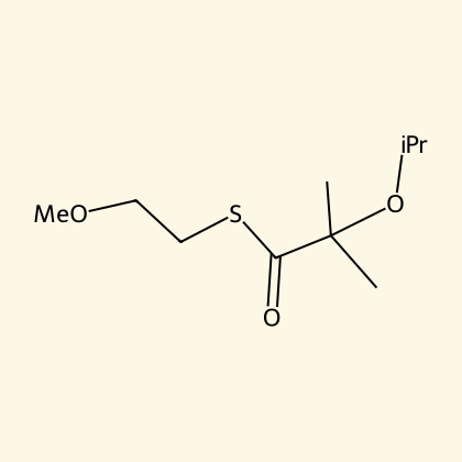 COCCSC(=O)C(C)(C)OC(C)C